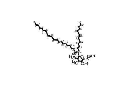 CCCCCCCCCCCCCCCCCCNC(=O)N(CCCCCCCCCCCC)[C@@H]1O[C@H](CO)[C@H](O)[C@H](O)[C@H]1N